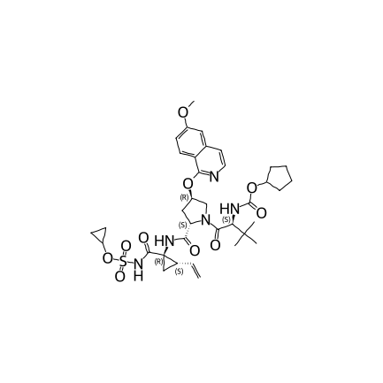 C=C[C@@H]1C[C@]1(NC(=O)[C@@H]1C[C@@H](Oc2nccc3cc(OC)ccc23)CN1C(=O)[C@@H](NC(=O)OC1CCCC1)C(C)(C)C)C(=O)NS(=O)(=O)OC1CC1